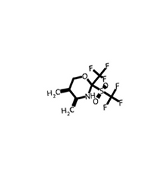 C=C1COC(C(F)(F)F)(S(=O)(=O)C(F)(F)F)NC1=C